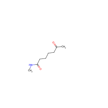 CNC(=O)CCCCC(C)=O